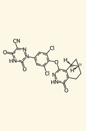 N#Cc1nn(-c2cc(Cl)c(Oc3n[nH]c(=O)c4c3[C@@H]3C[C@@H]3CC4)c(Cl)c2)c(=O)[nH]c1=O